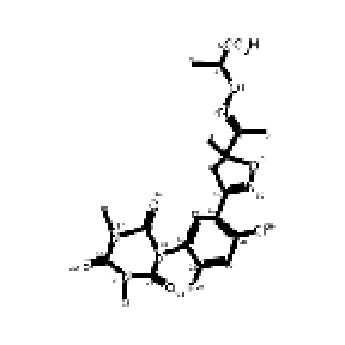 CC(=NOC(C)C(=O)O)C1(C)CC(c2cc(-n3c(=O)n(C)c(=S)n(C)c3=O)c(F)cc2Cl)=NO1